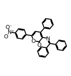 O=c1oc(-c2ccc([N+](=O)[O-])cc2)cc(-c2ccccc2)c1N=C(c1ccccc1)c1ccccc1